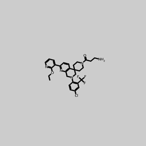 CCOc1ncccc1-c1ccc2c(n1)CN(c1ccc(Cl)cc1C(F)(F)F)CC21CCN(C(=O)CCN)CC1